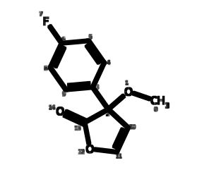 COC1(c2ccc(F)cc2)C=COC1=O